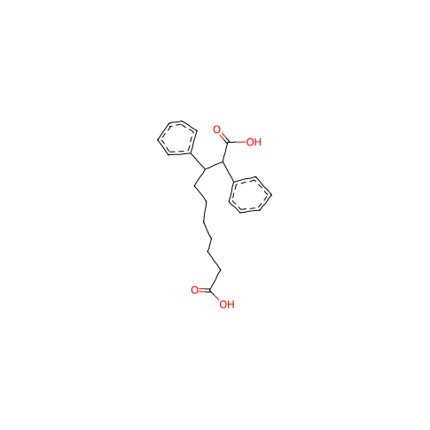 O=C(O)CCCCCCC(c1ccccc1)C(C(=O)O)c1ccccc1